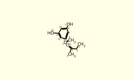 C=O.CCC(C)=O.Oc1cccc(O)c1